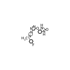 C[C@@H](c1ccc(F)cc1)N1CCN(c2cc(Oc3cccc4c3NCC(=O)N4)ncn2)CC1